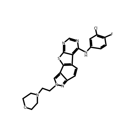 Fc1ccc(Nc2ncnc3sc4c5cn(CCN6CCOCC6)nc5ccc4c23)cc1Cl